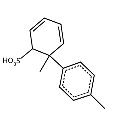 Cc1ccc(C2(C)C=CC=CC2S(=O)(=O)O)cc1